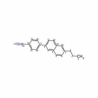 CCCc1ccc2cc(-c3ccc(C#N)cc3)ccc2c1